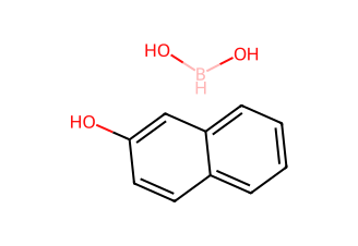 OBO.Oc1ccc2ccccc2c1